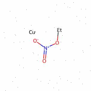 CCO[N+](=O)[O-].[Cu]